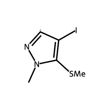 CSc1c(I)[c]nn1C